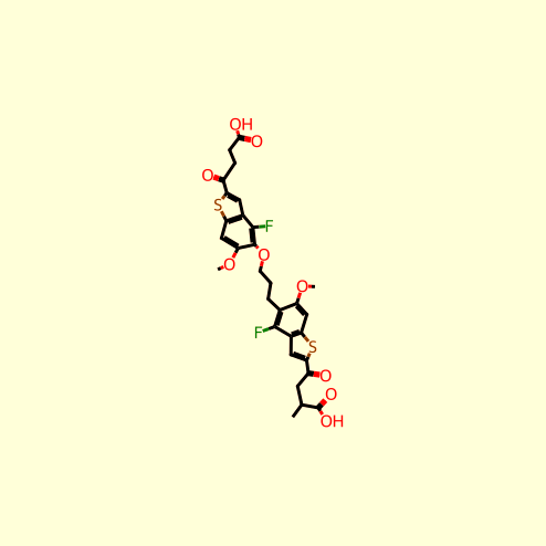 COc1cc2sc(C(=O)CC(C)C(=O)O)cc2c(F)c1CCCOc1c(OC)cc2sc(C(=O)CCC(=O)O)cc2c1F